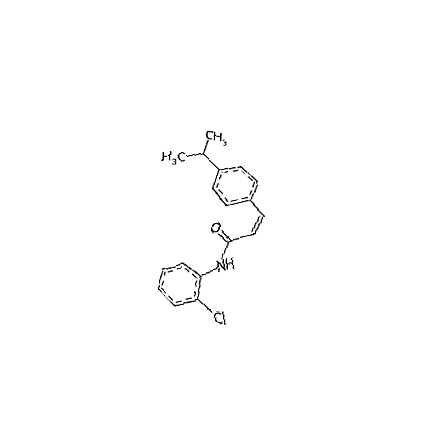 CC(C)c1ccc(/C=C\C(=O)Nc2ccccc2Cl)cc1